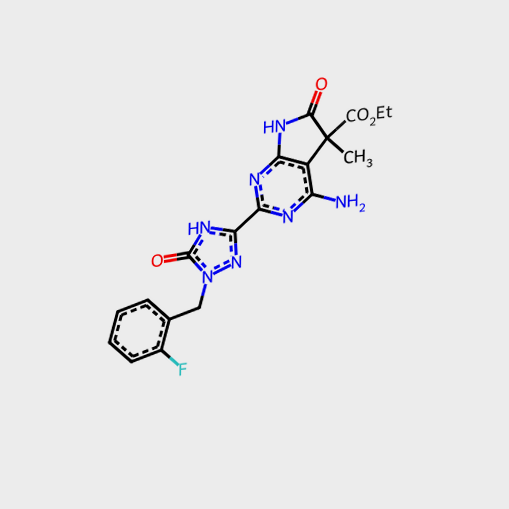 CCOC(=O)C1(C)C(=O)Nc2nc(-c3nn(Cc4ccccc4F)c(=O)[nH]3)nc(N)c21